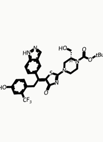 CC(C)(C)OC(=O)N1CCN(C2=NC(=O)C(=C(Cc3ccc(O)cc3C(F)(F)F)c3ccc4[nH]ncc4c3)S2)C[C@@H]1CO